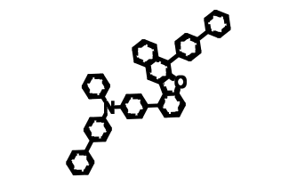 c1ccc(-c2ccc(-c3c4ccccc4cc4c3oc3cccc(-c5ccc(N(c6ccccc6)c6ccc(-c7ccccc7)cc6)cc5)c34)cc2)cc1